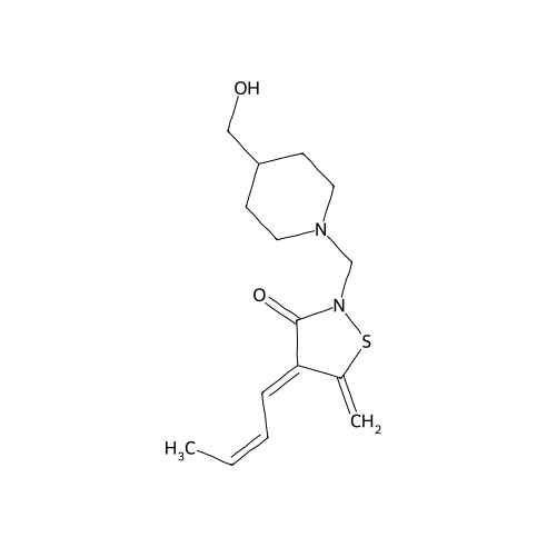 C=c1sn(CN2CCC(CO)CC2)c(=O)/c1=C/C=C\C